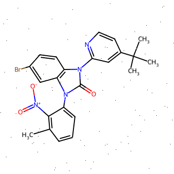 Cc1cccc(-n2c(=O)n(-c3cc(C(C)(C)C)ccn3)c3ccc(Br)cc32)c1[N+](=O)[O-]